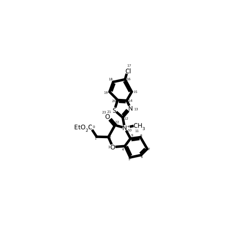 CCOC(=O)CC1Oc2ccccc2[N+](C)(c2nc3cc(Cl)ccc3s2)C1=O